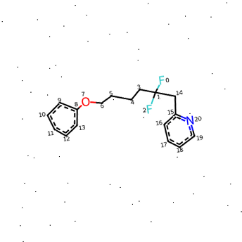 FC(F)(CCCCOc1ccccc1)Cc1ccccn1